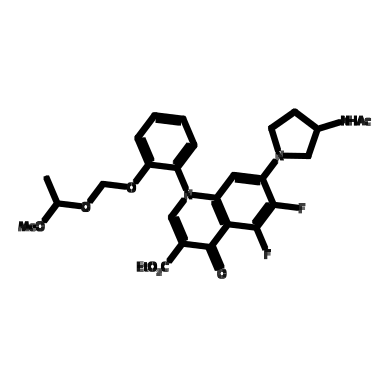 CCOC(=O)c1cn(-c2ccccc2OCOC(C)OC)c2cc(N3CCC(NC(C)=O)C3)c(F)c(F)c2c1=O